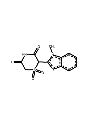 Cn1c(C2C(=O)NC(=O)CS2(=O)=O)nc2ccccc21